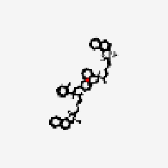 C=C(/C=C/C=C1\Sc2c(ccc3ccccc23)N1C)C(C)(Cc1ccc(CC(C)(C(=C)/C=C/C=C2\Sc3c(ccc4ccccc34)N2C)c2ccccc2C)cc1)c1ccccc1C